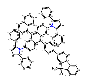 CC1(C)c2ccccc2-c2ccc(-c3ccc(-c4c5cc(-n6c(-c7ccccc7)ccc6-c6ccccc6)ccc5c(-c5cccc6ccccc56)c5cc(-n6c(-c7ccccc7)ccc6-c6ccccc6)ccc45)cc3)cc21